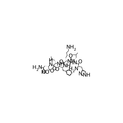 CC(C)C[C@H](NC(=O)[C@H](Cc1ccccc1)NC(=O)[C@H](CCCCN)NC(=O)[C@H](CC(C)C)NC(=O)[C@@H](N)Cc1c[nH]cn1)C(=O)N[C@@H](CC(N)=O)C(=O)O